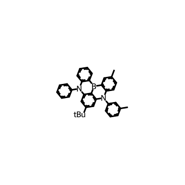 Cc1cccc(N2c3ccc(C)cc3B3c4ccccc4N(c4ccccc4)c4cc(C(C)(C)C)cc2c43)c1